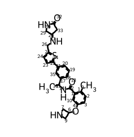 Cc1ccc(OC2CNC2)cc1C(=O)NC(C)c1cccc(-c2ccc(CNC3CNC(=O)C3)s2)c1